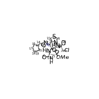 COC(=O)C1NC(=O)C1NC(=O)/C(=N\OCc1ccccc1)C1=CSCN1NC(=O)CCl